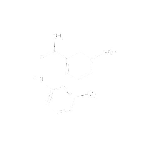 CNc1cccc(C(N)=O)c1.O=[N+]([O-])c1cccc([N+](=O)[O-])c1